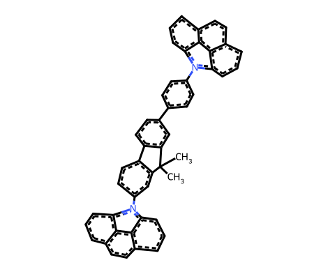 CC1(C)c2cc(-c3ccc(-n4c5cccc6ccc7cccc4c7c65)cc3)ccc2-c2ccc(-n3c4cccc5ccc6cccc3c6c54)cc21